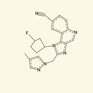 Cc1cnn(Cc2nc3cnc4ccc(C#N)cc4c3n2C2CCC(F)C2)c1